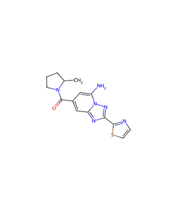 CC1CCCN1C(=O)c1cc(N)n2nc(-c3nccs3)nc2c1